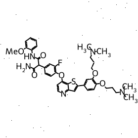 COc1ccccc1NC(=O)C(C(N)=O)c1ccc(Oc2ccnc3cc(-c4ccc(OCCCN(C)C)c(OCCCN(C)C)c4)sc23)c(F)c1